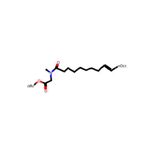 CCCCCCCCC=CCCCCCCCC(=O)N(C)CC(=O)OCCCC